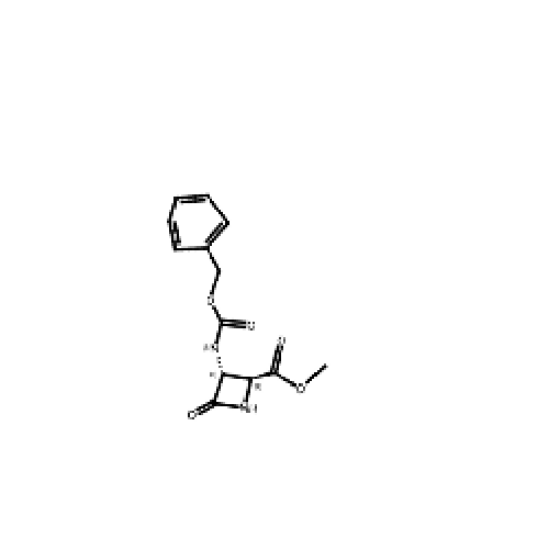 COC(=O)[C@H]1NC(=O)[C@@H]1NC(=O)OCc1ccccc1